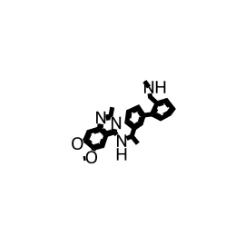 CNCc1ccccc1-c1cccc(C(C)Nc2nc(C)nc3cc(OC)c(OC)cc23)c1